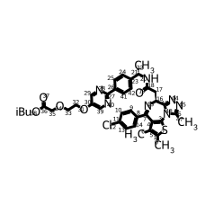 Cc1sc2c(c1C)C(c1ccc(Cl)cc1)=N[C@@H](CC(=O)N[C@@H](C)c1ccc(-c3ncc(OCCOCC(=O)OCC(C)C)cn3)cc1)c1nnc(C)n1-2